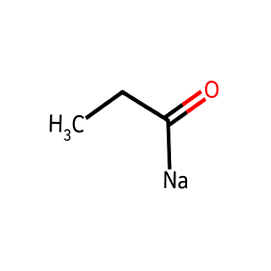 CC[C](=O)[Na]